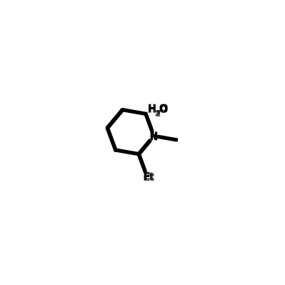 CCC1CCCCN1C.O